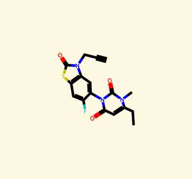 C#CCn1c(=O)sc2cc(F)c(-n3c(=O)cc(CC)n(C)c3=O)cc21